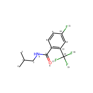 CC(C)CNC(=O)c1ccc(F)cc1C(F)(F)F